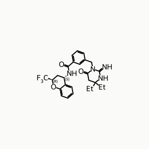 CCC1(CC)CC(=O)N(Cc2cccc(C(=O)N[C@H]3C[C@H](C(F)(F)F)Oc4ccccc43)c2)C(=N)N1